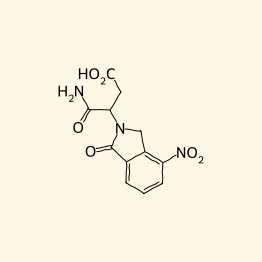 NC(=O)C(CC(=O)O)N1Cc2c(cccc2[N+](=O)[O-])C1=O